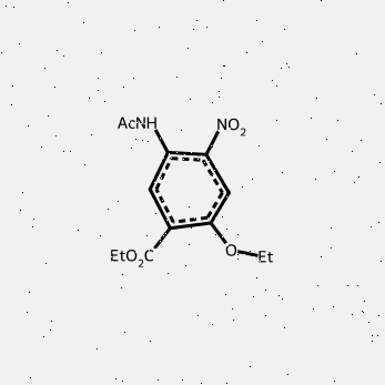 CCOC(=O)c1cc(NC(C)=O)c([N+](=O)[O-])cc1OCC